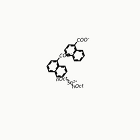 CCCCCCC[CH2][Sn+2][CH2]CCCCCCC.O=C([O-])c1cccc2ccccc12.O=C([O-])c1cccc2ccccc12